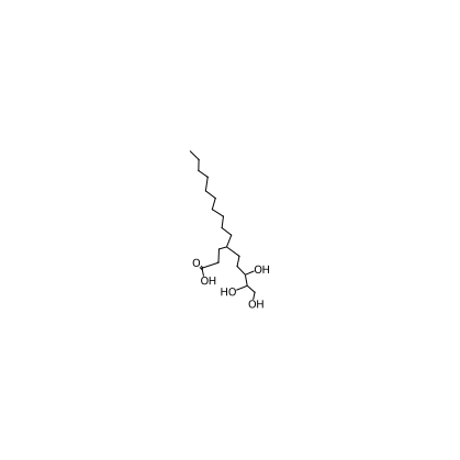 CCCCCCCCCCC(CCC(=O)O)CCC(O)C(O)CO